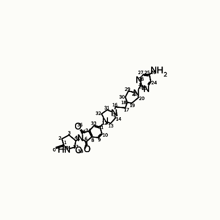 C=C1CCC(N2C(=O)c3ccc(N4CCN(CCC5CCN(c6ncc(N)cn6)CC5)CC4)cc3C2=O)C(=O)N1